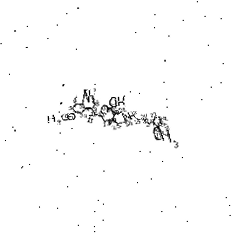 COc1ccc2nccc(C(F)CC[C@@H]3CCN(CCCSc4cccn4C)C[C@@H]3C(=O)O)c2c1